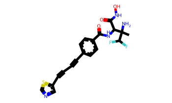 CC(N)(C(F)F)C(NC(=O)c1ccc(C#CC#Cc2cncs2)cc1)C(=O)NO